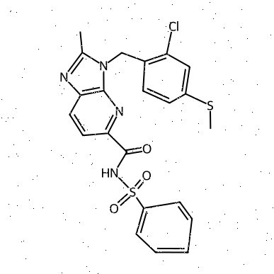 CSc1ccc(Cn2c(C)nc3ccc(C(=O)NS(=O)(=O)c4ccccc4)nc32)c(Cl)c1